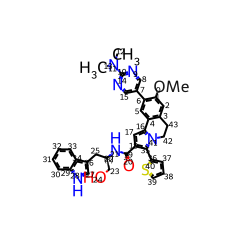 COc1cc2c(cc1-c1cnc(N(C)C)nc1)-c1cc(C(=O)N[C@@H](CO)Cc3c[nH]c4ccccc34)c(-c3cccs3)n1CC2